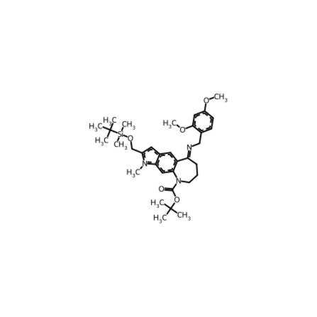 COc1ccc(CN=C2CCCN(C(=O)OC(C)(C)C)c3cc4c(cc32)cc(CO[Si](C)(C)C(C)(C)C)n4C)c(OC)c1